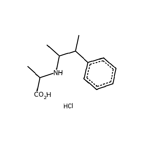 CC(NC(C)C(C)c1ccccc1)C(=O)O.Cl